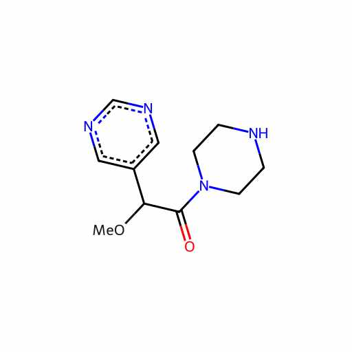 COC(C(=O)N1CCNCC1)c1cncnc1